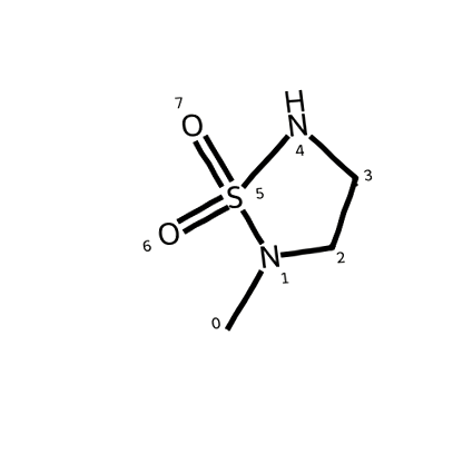 CN1C[CH]NS1(=O)=O